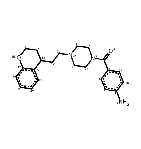 Nc1ccc(C(=O)N2CCN(CCC3CCOc4ccccc43)CC2)cc1